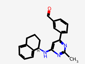 Cc1nc(N[C@@H]2CCCc3ccccc32)cc(-c2cccc(C=O)c2)n1